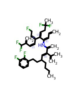 C=C\C=C(NC(=C)/C(=C/C(CCCC)CCc1cccc(F)c1F)C(=C)C)/C(=C\CC(C)(F)F)C(/C=C\C(=C)C(F)F)=C\CF